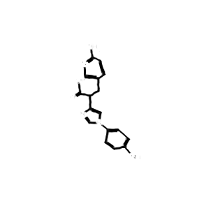 Nc1ccc(-n2cnc(C(Cc3ccc(N)nc3)C(=O)O)c2)cc1